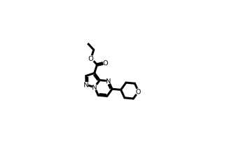 CCOC(=O)c1cnn2ccc(C3CCOCC3)nc12